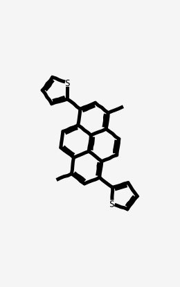 Cc1cc(-c2cccs2)c2ccc3c(C)cc(-c4cccs4)c4ccc1c2c34